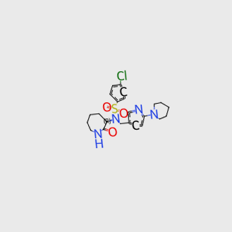 O=C1NCCCC[C@H]1N(Cc1ccc(N2CCCCC2)nc1)S(=O)(=O)c1ccc(Cl)cc1